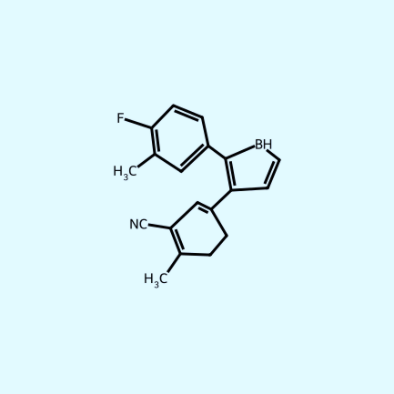 CC1=C(C#N)C=C(C2=C(c3ccc(F)c(C)c3)BC=C2)CC1